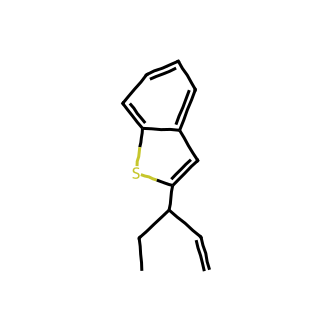 C=CC(CC)c1cc2ccccc2s1